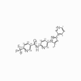 Cc1cc(-c2cccnc2)nn1-c1ccc(NC(=O)c2ccc(C(F)(F)F)nc2)nc1